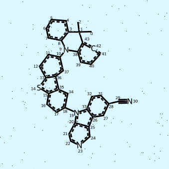 CC1(C)c2ccccc2N(c2ccc3sc4ccc(-n5c6ccncc6c6cc(C#N)ccc65)cc4c3c2)c2ccccc21